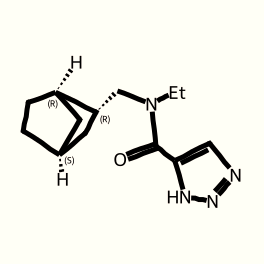 CCN(C[C@@H]1C[C@H]2CC[C@@H]1C2)C(=O)c1cnn[nH]1